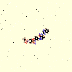 Cc1csc(Nc2cnc3ccccc3n2)c1C(=O)Nc1cccc(NS(=O)(=O)C2CCN(C(=O)OC(C)(C)C)CC2)c1